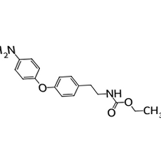 CCOC(=O)NCCc1ccc(Oc2ccc(N)cc2)cc1